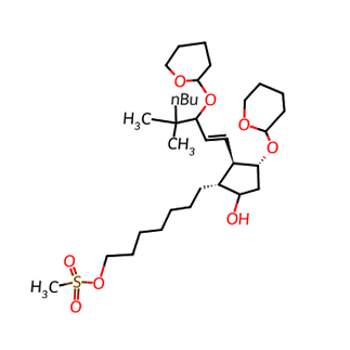 CCCCC(C)(C)C(/C=C/[C@H]1[C@H](OC2CCCCO2)CC(O)[C@@H]1CCCCCCCOS(C)(=O)=O)OC1CCCCO1